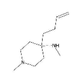 C=CCCC1(NC)CCN(C)CC1